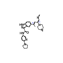 C=N/C=C(\C=C(/C)c1ccc2[nH]nc(C(=O)Nc3ccc(N4CCCC4)nc3)c2c1)N1CCN(C)CC1